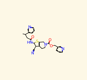 CC(CC(=O)NC1SC2=C(CCN(C(=O)OCc3cccnc3)C2)C1C#N)c1cccnc1